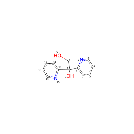 OCC(O)(c1ccccn1)c1ccccn1